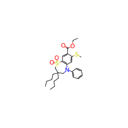 CCCCC1(CCCC)CN(c2ccccc2)c2cc(SC)c(C(=O)OCC)cc2S(=O)(=O)C1